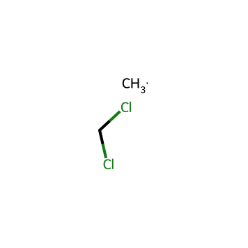 ClCCl.[CH3]